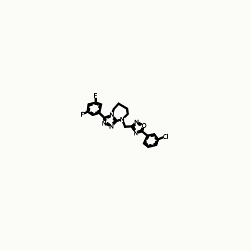 Fc1cc(F)cc(-c2nnc3n2CCCCN3Cc2noc(-c3cccc(Cl)c3)n2)c1